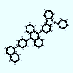 c1ccc(-n2c3ccccc3c3cc(-c4c5ccccc5c(-c5ccc(-c6cccc7ccccc67)cc5)c5ccccc45)ccc32)cc1